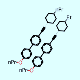 CCCOc1ccc(-c2ccc(C#C[C@H]3CC[C@H](CC)CC3)cc2)cc1.CCCOc1ccc(-c2ccc(C#C[C@H]3CC[C@H](CCC)CC3)cc2)cc1